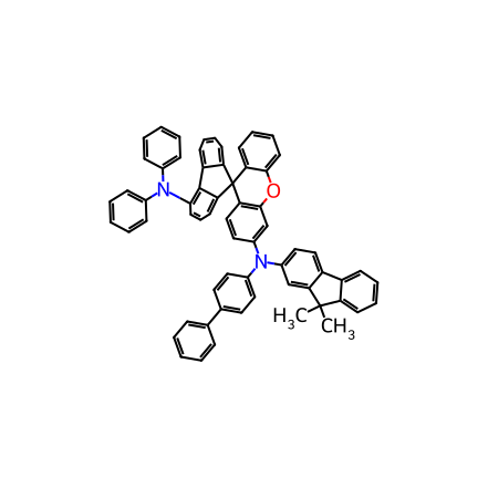 CC1(C)c2ccccc2-c2ccc(N(c3ccc(-c4ccccc4)cc3)c3ccc4c(c3)Oc3ccccc3C43c4ccccc4-c4c(N(c5ccccc5)c5ccccc5)cccc43)cc21